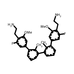 COc1cc(-c2cccc(-c3cccc(-c4cc(F)c(CCN)c(OC)c4)c3C)c2C)cc(F)c1CCN